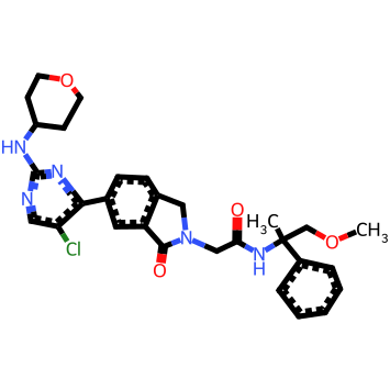 COCC(C)(NC(=O)CN1Cc2ccc(-c3nc(NC4CCOCC4)ncc3Cl)cc2C1=O)c1ccccc1